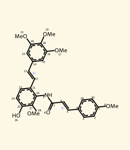 COc1ccc(/C=C/C(=O)Nc2c(/C=C/c3cc(OC)c(OC)c(OC)c3)ccc(O)c2OC)cc1